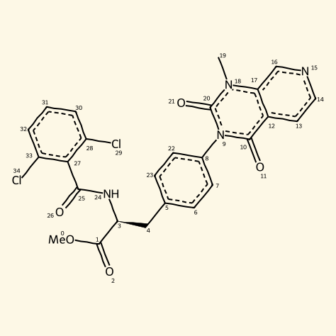 COC(=O)[C@H](Cc1ccc(-n2c(=O)c3ccncc3n(C)c2=O)cc1)NC(=O)c1c(Cl)cccc1Cl